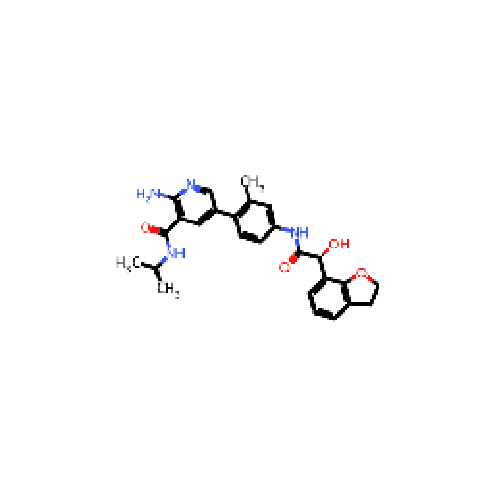 Cc1cc(NC(=O)[C@@H](O)c2cccc3c2OCC3)ccc1-c1cnc(N)c(C(=O)NC(C)C)c1